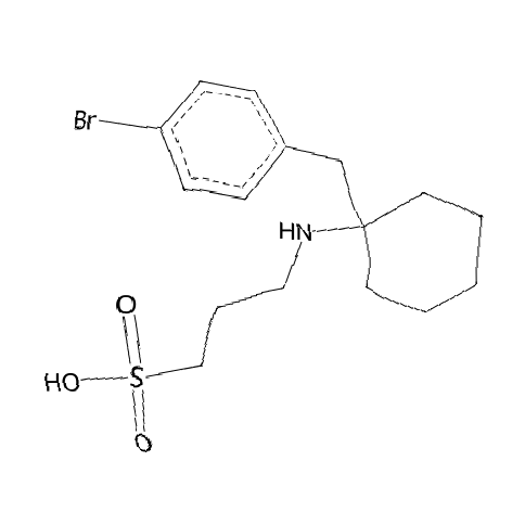 O=S(=O)(O)CCCNC1(Cc2ccc(Br)cc2)CCCCC1